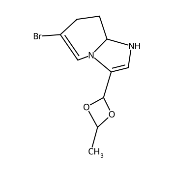 CC1OC(C2=CNC3CCC(Br)=CN23)O1